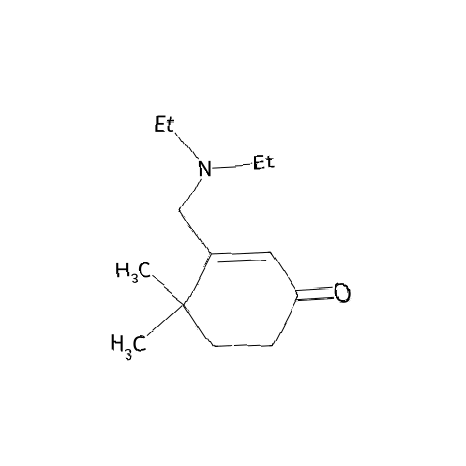 CCN(CC)CC1=CC(=O)CCC1(C)C